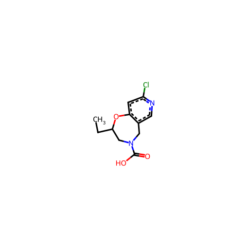 CCC1CN(C(=O)O)Cc2cnc(Cl)cc2O1